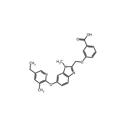 CCc1cnc(Oc2ccc3nc(COc4cccc(C(=O)O)c4)n(C)c3c2)c(C)c1